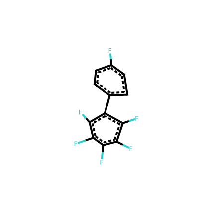 Fc1ccc(-c2c(F)c(F)c(F)c(F)c2F)cc1